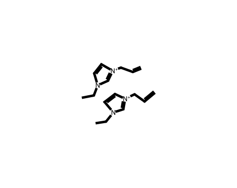 C=CC[n+]1ccn(CC)c1.C=CC[n+]1ccn(CC)c1